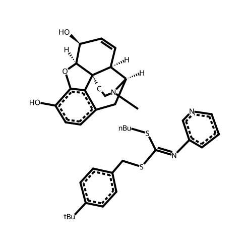 CCCCS/C(=N\c1cccnc1)SCc1ccc(C(C)(C)C)cc1.CN1CC[C@]23c4c5ccc(O)c4O[C@H]2[C@@H](O)C=C[C@H]3[C@H]1C5